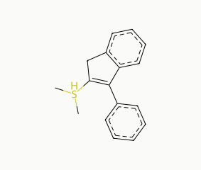 C[SH](C)C1=C(c2ccccc2)c2ccccc2C1